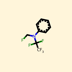 FCN(c1ccccc1)C(F)(F)C(F)(F)F